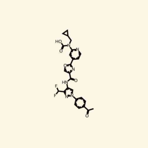 CC(=O)c1ccc(-n2cc(NC(=O)c3coc(-c4ccnc(N(CC5CC5)C(=O)O)c4)n3)c(C(F)F)n2)cc1